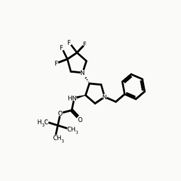 CC(C)(C)OC(=O)N[C@@H]1CN(Cc2ccccc2)C[C@H]1N1CC(F)(F)C(F)(F)C1